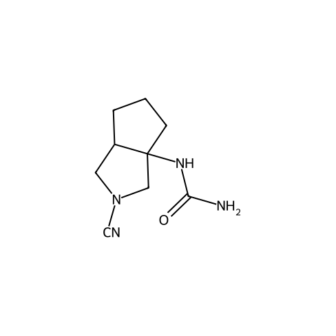 N#CN1CC2CCCC2(NC(N)=O)C1